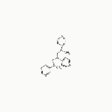 CC(CC(CC(C)c1cccnc1)c1ccncc1)c1ccncc1